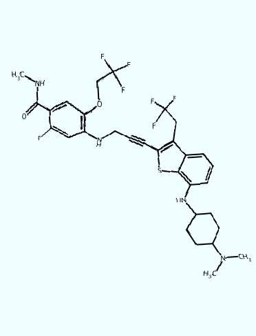 CNC(=O)c1cc(OCC(F)(F)F)c(NCC#Cc2sc3c(NC4CCC(N(C)C)CC4)cccc3c2CC(F)(F)F)cc1F